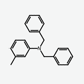 Cc1[c]ccc(N(Cc2ccccc2)Cc2ccccc2)c1